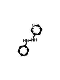 c1ccc(NNc2cccnc2)cc1